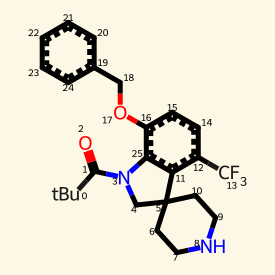 CC(C)(C)C(=O)N1CC2(CCNCC2)c2c(C(F)(F)F)ccc(OCc3ccccc3)c21